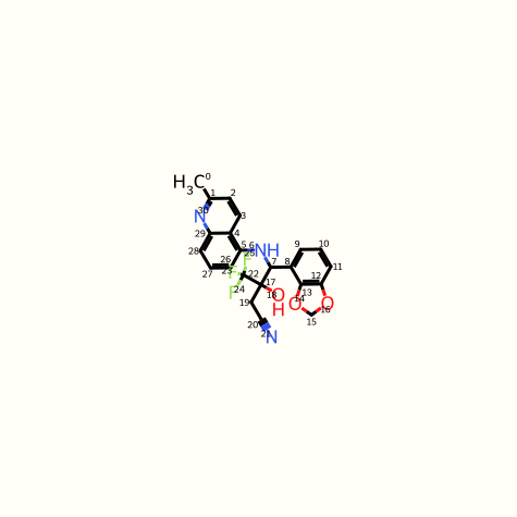 Cc1ccc2c(NC(c3cccc4c3OCO4)C(O)(CC#N)C(F)(F)F)cccc2n1